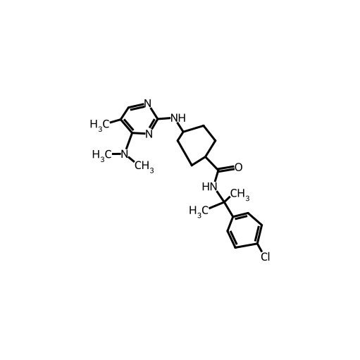 Cc1cnc(NC2CCC(C(=O)NC(C)(C)c3ccc(Cl)cc3)CC2)nc1N(C)C